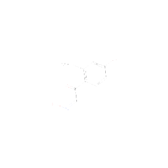 COc1cc(Br)ccc1C(=O)/C=N\O